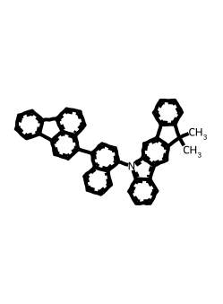 CC1(C)c2ccccc2-c2cc3c(cc21)c1ccccc1n3-c1ccc(-c2ccc3c4c(cccc24)-c2ccccc2-3)c2ccccc12